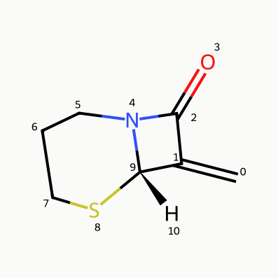 C=C1C(=O)N2CCCS[C@@H]12